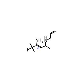 C=CCNC(C)/C=C(\N)C(C)(C)I